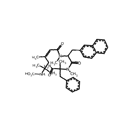 C/C(=C/C(=O)N(C)C(Cc1ccc2ccccc2c1)C(=O)N(C)C(C)(Cc1ccccc1)C(N)=O)CC(C)(C)NC(=O)O